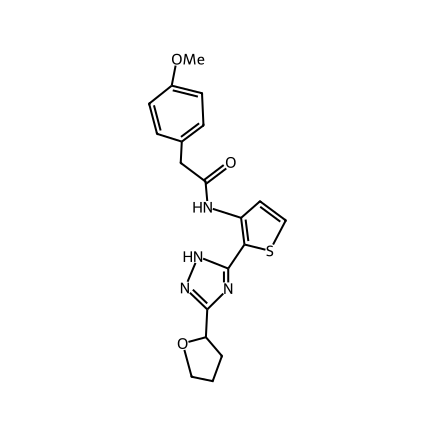 COc1ccc(CC(=O)Nc2ccsc2-c2nc(C3CCCO3)n[nH]2)cc1